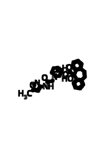 Cc1cc(NC(=O)C[N+]23CCC(CC2)[C@@H](OC(=O)C2(O)c4ccccc4C=Cc4ccccc42)C3)no1